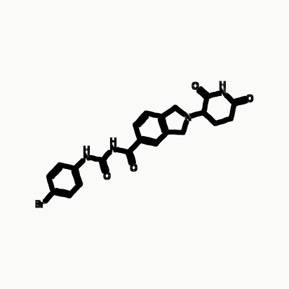 O=C1CCC(N2Cc3ccc(C(=O)NC(=O)Nc4ccc(Br)cc4)cc3C2)C(=O)N1